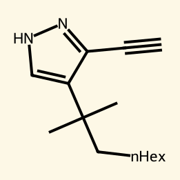 C#Cc1n[nH]cc1C(C)(C)CCCCCCC